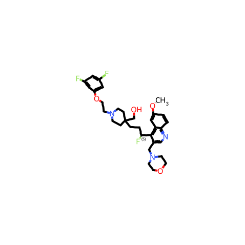 COc1ccc2ncc(CN3CCOCC3)c([C@@H](F)CCC3(CO)CCN(CCOc4cc(F)cc(F)c4)CC3)c2c1